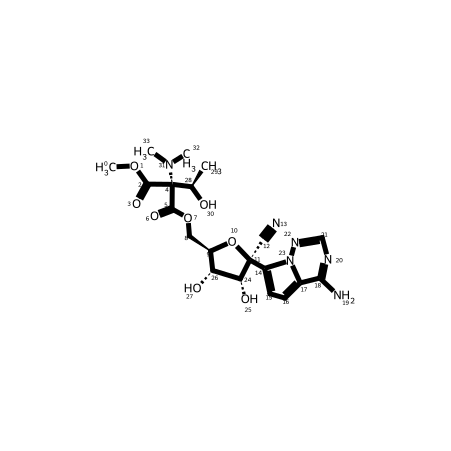 COC(=O)[C@](C(=O)OC[C@H]1O[C@@](C#N)(c2ccc3c(N)ncnn23)[C@H](O)[C@@H]1O)([C@@H](C)O)N(C)C